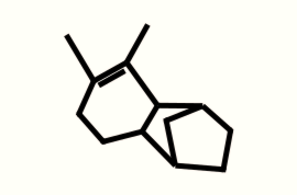 CC1=C(C)C2C3CCC(C3)C2CC1